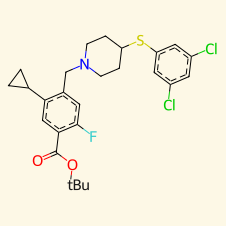 CC(C)(C)OC(=O)c1cc(C2CC2)c(CN2CCC(Sc3cc(Cl)cc(Cl)c3)CC2)cc1F